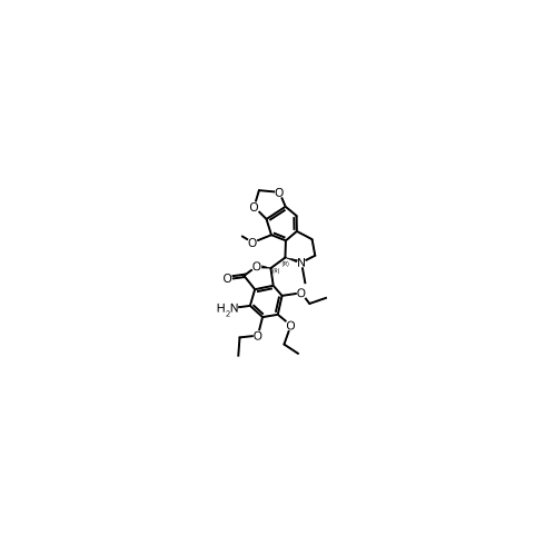 CCOc1c(N)c2c(c(OCC)c1OCC)[C@H]([C@H]1c3c(cc4c(c3OC)OCO4)CCN1C)OC2=O